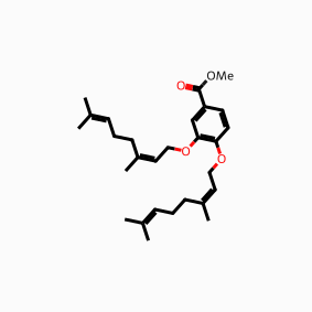 COC(=O)c1ccc(OCC=C(C)CCC=C(C)C)c(OCC=C(C)CCC=C(C)C)c1